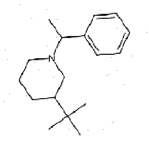 CC(c1ccccc1)N1CCCC(C(C)(C)C)C1